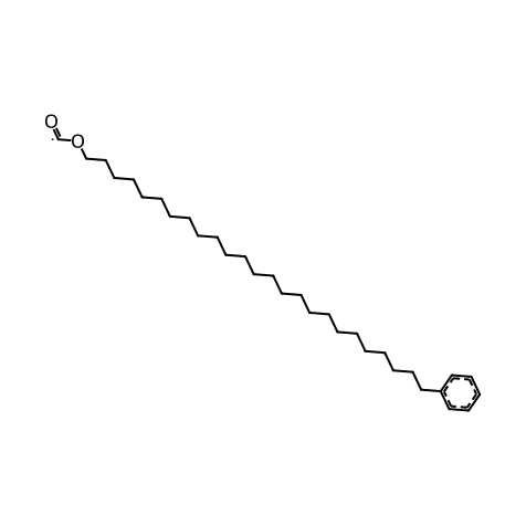 O=[C]OCCCCCCCCCCCCCCCCCCCCCCCCCc1ccccc1